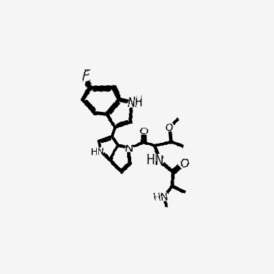 CNC(C)C(=O)NC(C(=O)N1CCC2NC=C(c3c[nH]c4cc(F)ccc34)C21)C(C)OC